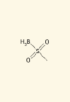 BS(C)(=O)=O